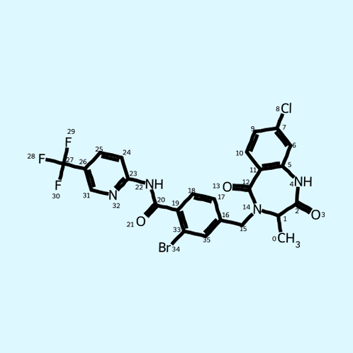 CC1C(=O)Nc2cc(Cl)ccc2C(=O)N1Cc1ccc(C(=O)Nc2ccc(C(F)(F)F)cn2)c(Br)c1